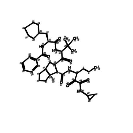 CCCC(NC(=O)[C@@H]1[C@H]2CCCC2CN1C(=O)[C@@H](NC(=O)[C@H](CC1CCCCC1)NC(=O)c1cnccn1)C(C)(C)C)C(=O)C(=O)NC1CC1